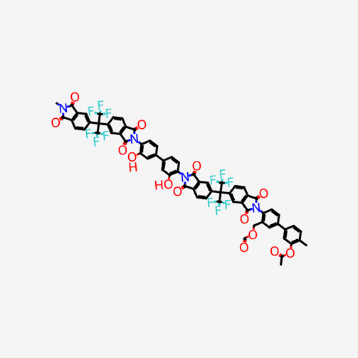 CC(=O)Oc1cc(-c2ccc(N3C(=O)c4ccc(C(c5ccc6c(c5)C(=O)N(c5ccc(-c7ccc(N8C(=O)c9ccc(C(c%10ccc%11c(c%10)C(=O)N(C)C%11=O)(C(F)(F)F)C(F)(F)F)cc9C8=O)c(O)c7)cc5O)C6=O)(C(F)(F)F)C(F)(F)F)cc4C3=O)c(COC=O)c2)ccc1C